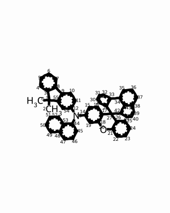 CC1(C)c2ccccc2-c2ccc(N(c3ccc4c(c3)Oc3ccccc3C43c4ccccc4-c4cccc5cccc3c45)c3cccc4ccccc34)cc21